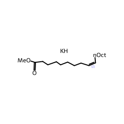 CCCCCCCC/C=C\CCCCCCCC(=O)OC.[KH]